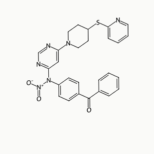 O=C(c1ccccc1)c1ccc(N(c2cc(N3CCC(Sc4ccccn4)CC3)ncn2)[N+](=O)[O-])cc1